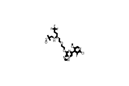 COc1cnc(Cl)c(F)c1-c1cn2ncnc2c(OCCOCC[C@H](CCC(F)(F)F)NCC(C)(C)[S+]=O)n1